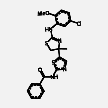 COc1ccc(Cl)cc1NC1=NC(C)(c2cnc(NC(=O)c3ccccc3)s2)CS1